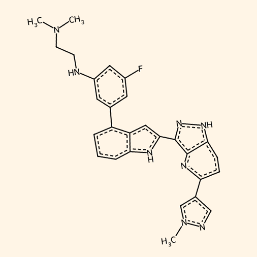 CN(C)CCNc1cc(F)cc(-c2cccc3[nH]c(-c4n[nH]c5ccc(-c6cnn(C)c6)nc45)cc23)c1